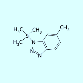 Cc1ccc2nnn([Si](C)(C)C)c2c1